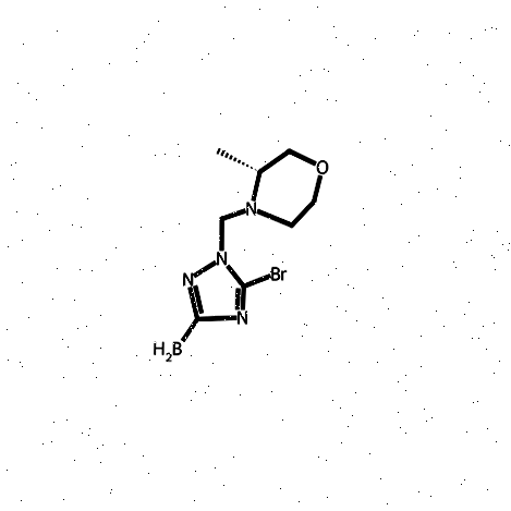 Bc1nc(Br)n(CN2CCOC[C@H]2C)n1